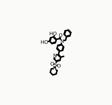 Cc1cc(S(=O)(=O)N2CCCCC2)cnc1-c1ccc(N(Cc2ccccc2)C(=O)c2ccc(O)cc2O)cc1